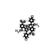 COc1ccc([N+](=O)[O-])cc1C(C=Cc1ccc(Cl)cc1)S(=O)(=O)C(C=Cc1ccc(Cl)cc1)c1cc([N+](=O)[O-])ccc1OC